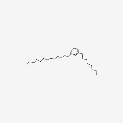 CCCCCCCCCCCCC[n+]1cccc(CCCCCCCC)c1